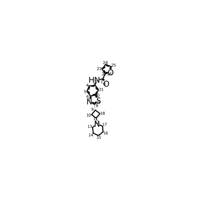 O=C(Nc1ccc2nc([C@H]3C[C@@H](N4CCCCC4)C3)sc2c1)c1ccco1